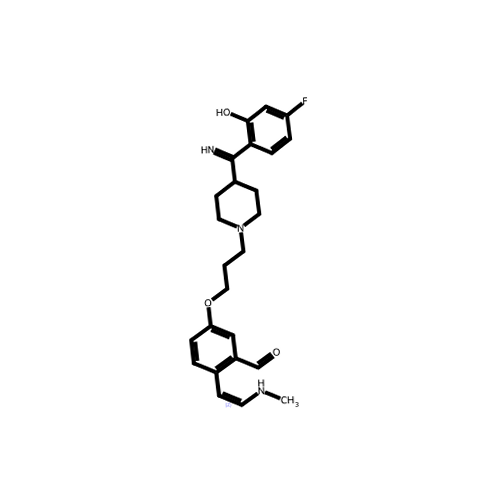 CN/C=C\c1ccc(OCCCN2CCC(C(=N)c3ccc(F)cc3O)CC2)cc1C=O